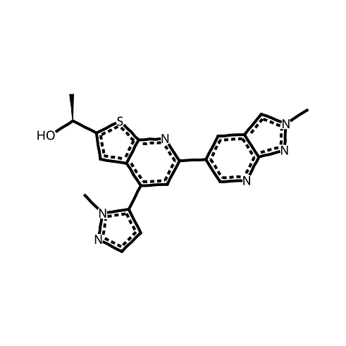 C[C@H](O)c1cc2c(-c3ccnn3C)cc(-c3cnc4nn(C)cc4c3)nc2s1